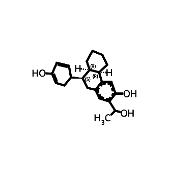 CC(O)c1cc2c(cc1O)[C@@H]1CCCC[C@@H]1[C@H](C1C=CC(O)=CC1)C2